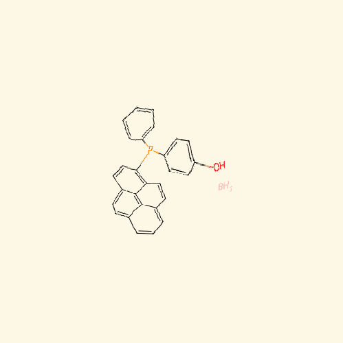 B.Oc1ccc(P(c2ccccc2)c2ccc3ccc4cccc5ccc2c3c45)cc1